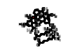 CC(C)(C)CCCCCC(=O)[O-].CC(C)(C)CCCCCC(=O)[O-].CC(NC(=O)c1c(C(C)C)cc(C)cc1C(C)C)=C1C=CCC(=C(C)NC(=O)c2c(C(C)C)cc(C)cc2C(C)C)N1.[Ti+2]